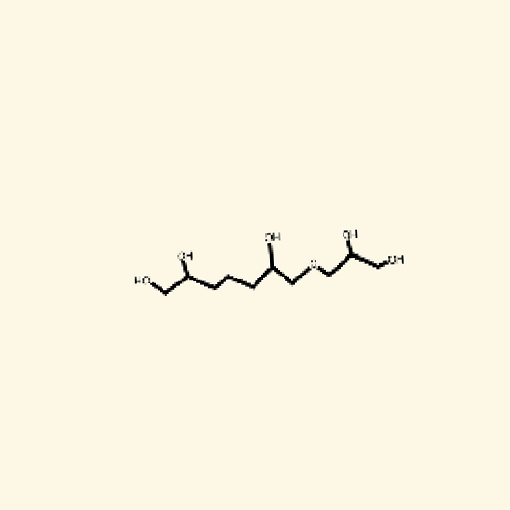 OCC(O)CCCC(O)COCC(O)CO